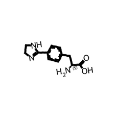 N[C@@H](Cc1ccc(C2=NCCN2)cc1)C(=O)O